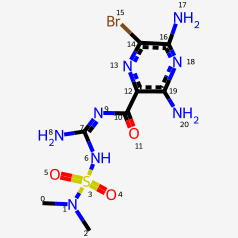 CN(C)S(=O)(=O)N/C(N)=N\C(=O)c1nc(Br)c(N)nc1N